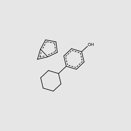 Oc1ccc(C2CCCCC2)cc1.c1cc2cc-2c1